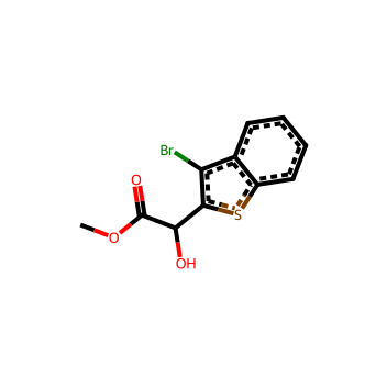 COC(=O)C(O)c1sc2ccccc2c1Br